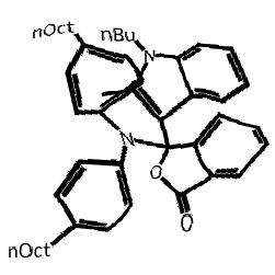 CCCCCCCCc1ccc(N(c2ccc(CCCCCCCC)cc2)C2(c3c(C)n(CCCC)c4ccccc34)OC(=O)c3ccccc32)cc1